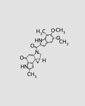 COc1cc2cc(C(=O)N3C[C@H]4C[C@@]45C3=CC(=O)c3[nH]c(C)cc35)[nH]c2c(C)c1OC